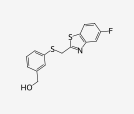 OCc1cccc(SCc2nc3cc(F)ccc3s2)c1